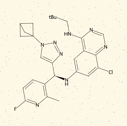 Cc1nc(F)ccc1[C@H](Nc1cc(Cl)c2ncnc(NCC(C)(C)C)c2c1)c1cn(C23CC(C2)C3)nn1